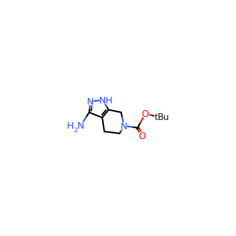 CC(C)(C)OC(=O)N1CCc2c(N)n[nH]c2C1